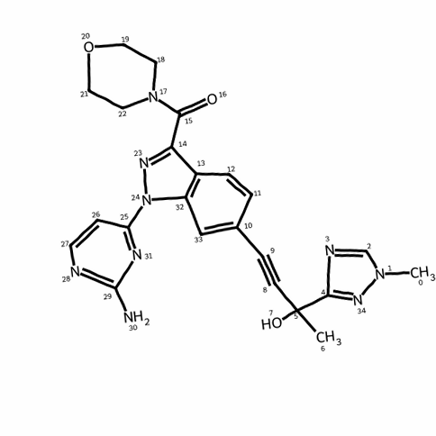 Cn1cnc(C(C)(O)C#Cc2ccc3c(C(=O)N4CCOCC4)nn(-c4ccnc(N)n4)c3c2)n1